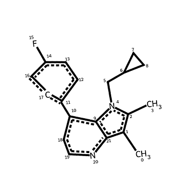 Cc1c(C)n(CC2CC2)c2c(-c3ccc(F)cc3)ccnc12